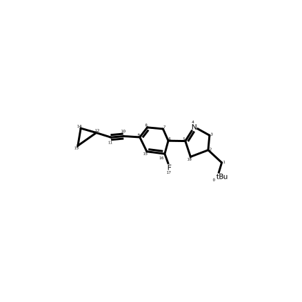 CC(C)(C)CC1CN=C(C2CC=C(C#CC3CC3)C=C2F)C1